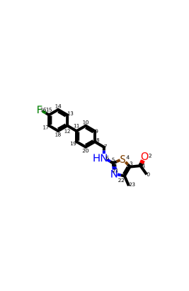 CC(=O)c1sc(NCc2ccc(-c3ccc(F)cc3)cc2)nc1C